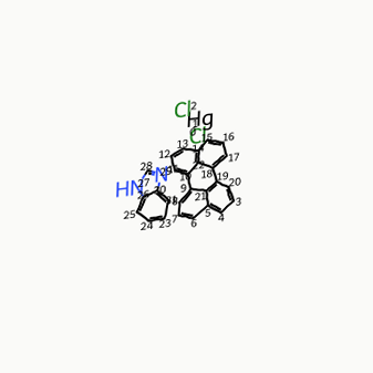 [Cl][Hg][Cl].c1cc2cccc3c4cccc5cccc(c(c1)c23)c54.c1ccc2[nH]cnc2c1